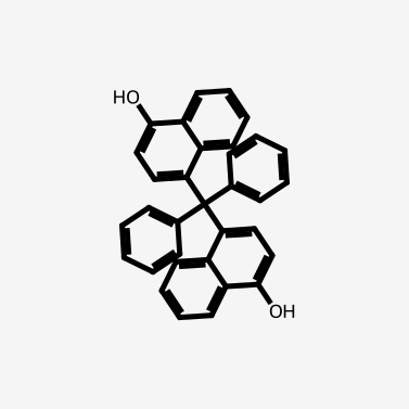 Oc1ccc(C(c2ccccc2)(c2ccccc2)c2ccc(O)c3ccccc23)c2ccccc12